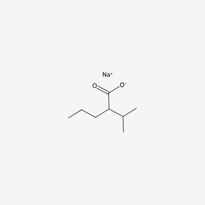 CCCC(C(=O)[O-])C(C)C.[Na+]